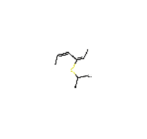 C/C=C\C(=C/C)SC(CC)CC